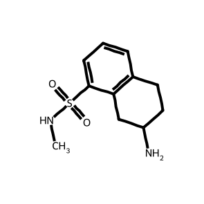 CNS(=O)(=O)c1cccc2c1CC(N)CC2